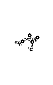 C=C(C)C(=O)OCCc1ccc(OC(OCCOc2ccc(C(=O)C(C)(C)O)cc2)c2ccccc2)c(-n2nc3ccccc3n2)c1